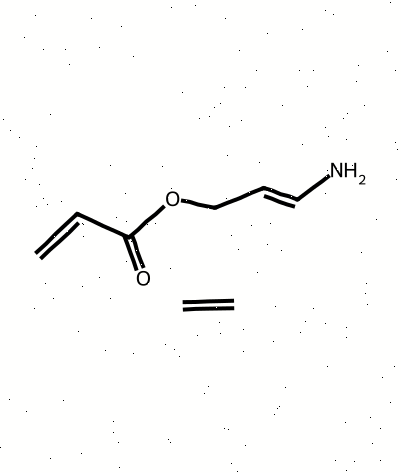 C=C.C=CC(=O)OCC=CN